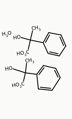 CC(O)(C(=O)O)c1ccccc1.CC(O)(C(=O)O)c1ccccc1.O